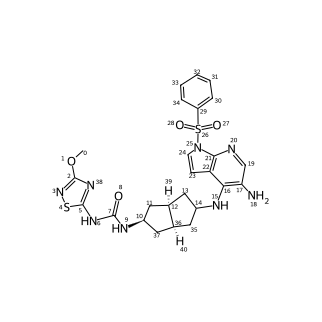 COc1nsc(NC(=O)N[C@H]2C[C@H]3CC(Nc4c(N)cnc5c4ccn5S(=O)(=O)c4ccccc4)C[C@H]3C2)n1